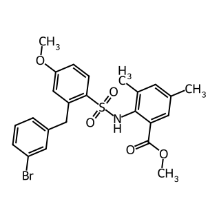 COC(=O)c1cc(C)cc(C)c1NS(=O)(=O)c1ccc(OC)cc1Cc1cccc(Br)c1